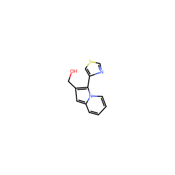 OCc1cc2ccccn2c1-c1cscn1